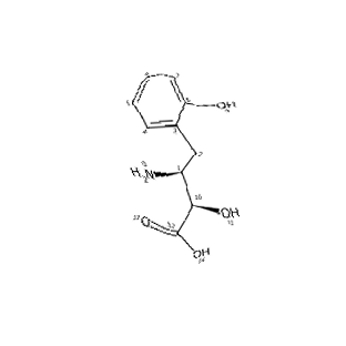 N[C@@H](Cc1ccccc1O)[C@@H](O)C(=O)O